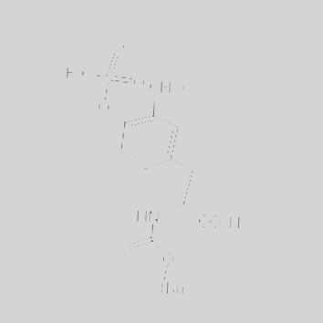 CC(C)(C)OC(=O)NC(Cc1ccc(OS(=O)(=O)C(F)(F)F)c(C=O)c1)C(=O)O